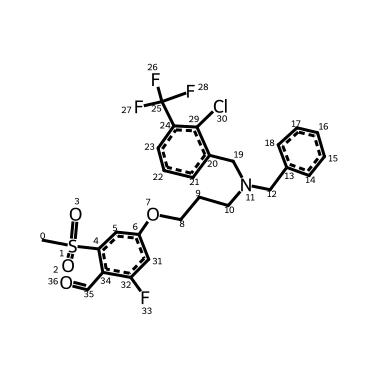 CS(=O)(=O)c1cc(OCCCN(Cc2ccccc2)Cc2cccc(C(F)(F)F)c2Cl)cc(F)c1C=O